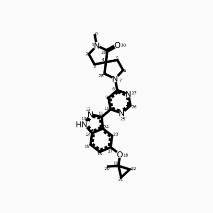 CN1CCC2(CCN(c3cc(-c4n[nH]c5ccc(OC6(C)CC6)cc45)ncn3)C2)C1=O